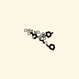 COC(=O)c1scc(OCC(COCc2ccccc2)OS(=O)(=O)c2ccc(C)cc2)c1[N+](=O)[O-]